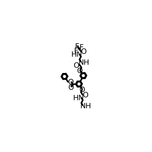 CNCCNC(=O)COc1cc(C(=O)OCc2ccccc2)cc(-c2cccc(OCC(=O)NCCNC(=O)C(F)(F)F)c2)c1